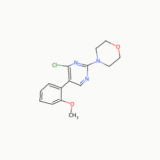 COc1ccccc1-c1cnc(N2CCOCC2)nc1Cl